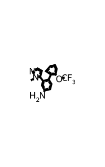 Cn1nccc1-c1cc(N)ccc1-c1ccccc1OC(F)(F)F